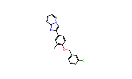 Cc1cc(-c2cn3ccccc3n2)ccc1OCc1cccc(Cl)c1